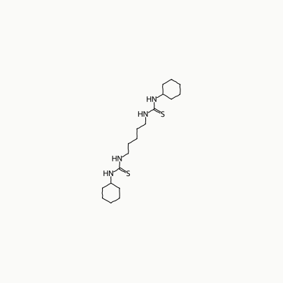 S=C(NCCCCCNC(=S)NC1CCCCC1)NC1CCCCC1